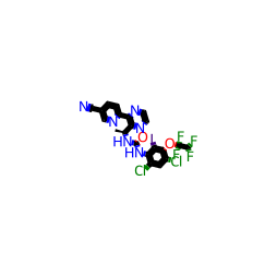 C[C@H](NC(=O)Nc1c(Cl)cc(Cl)c(OC(F)(F)C(F)F)c1I)c1nccnc1-c1ccc(C#N)cn1